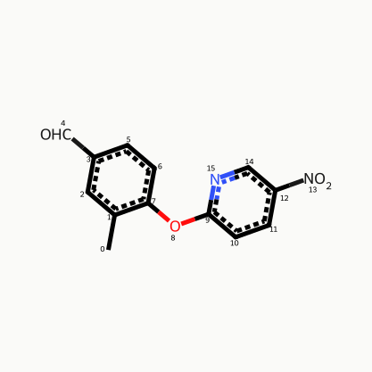 Cc1cc(C=O)ccc1Oc1ccc([N+](=O)[O-])cn1